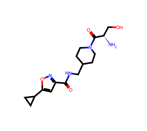 N[C@@H](CO)C(=O)N1CCC(CNC(=O)c2cc(C3CC3)on2)CC1